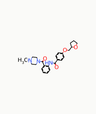 CN1CCN(C(=O)c2ccccc2NC(=O)c2ccc(OCC3CCCO3)cc2)CC1